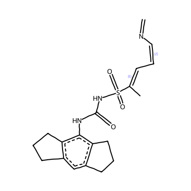 C=N/C=C\C=C(/C)S(=O)(=O)NC(=O)Nc1c2c(cc3c1CCC3)CCC2